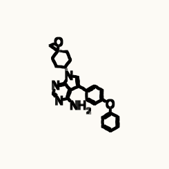 Nc1ncnc2c1c(-c1ccc(Oc3ccccc3)cc1)cn2[C@H]1CC[C@@]2(CC1)CO2